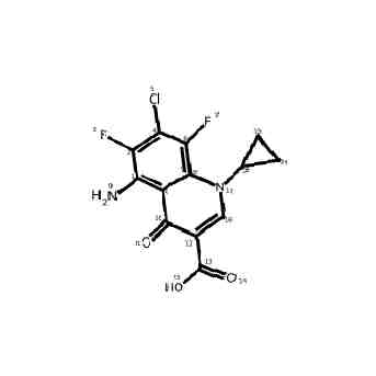 Nc1c(F)c(Cl)c(F)c2c1c(=O)c(C(=O)O)cn2C1CC1